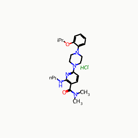 CCCNc1nc(N2CCN(c3ccccc3OC(C)C)CC2)ccc1C(=O)N(C)C.Cl